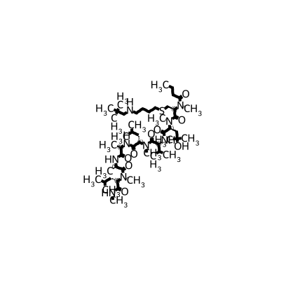 CCCC(=O)N(C)[C@H](CSCCCCNCC(C)(C)C)C(=O)N(C)[C@@H](CC(C)(C)O)C(=O)N[C@H](C(=O)N(C)[C@@H](CC(C)C)C(=O)N[C@H](C)C(=O)N[C@@H](C)C(=O)N(C)[C@@H](CC(C)C)C(=O)NC)C(C)C